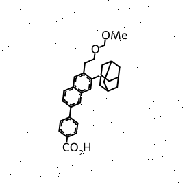 COCOCCc1cc2ccc(-c3ccc(C(=O)O)cc3)cc2cc1C12CC3CC(CC(C3)C1)C2